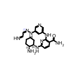 N=C/C=N\Nc1cncc(Nc2nc(N[C@@H]3CCCC[C@@H]3N)ccc2C(N)=O)c1